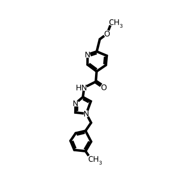 COCc1ccc(C(=O)Nc2cn(Cc3cccc(C)c3)cn2)cn1